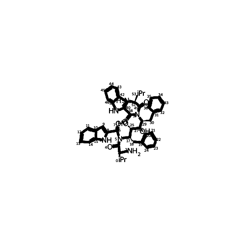 CC(C)[C@H](N)C(=O)N(C(=O)c1cc2ccccc2[nH]1)[C@@H](Cc1ccccc1)[C@H](O)[C@@H](O)[C@H](Cc1ccccc1)N(C(=O)c1cc2ccccc2[nH]1)C(=O)[C@@H](N)C(C)C